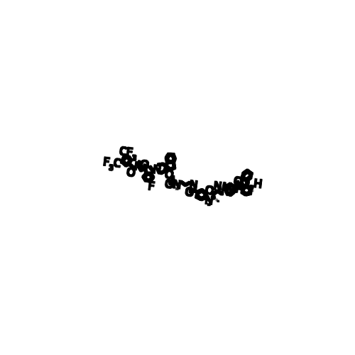 CNC(CN1CCC(N(C(=O)O)c2ccccc2-c2ccccc2)CC1)C(=O)[C@H](C)N(C)c1ccc(C(=O)N(C)CCCN(C)C(=O)CO[C@H]2Cc3ccccc3C23CCN(CC[C@]2(c4ccc(F)cc4)CN(C(=O)c4cc(C(F)(F)F)cc(C(F)(F)F)c4)CO2)CC3)cc1